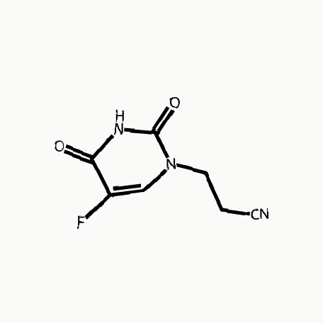 N#CCCn1cc(F)c(=O)[nH]c1=O